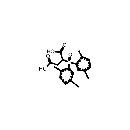 Cc1ccc(C)c(P(=O)(c2cc(C)ccc2C)C(CC(=O)O)C(=O)O)c1